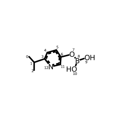 CC(C)c1ccc(OB(O)O)cn1